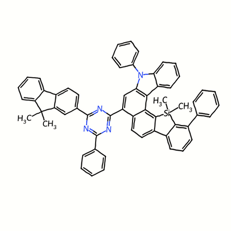 CC1(C)c2ccccc2-c2ccc(-c3nc(-c4ccccc4)nc(-c4cc5c(c6ccccc6n5-c5ccccc5)c5c6c(ccc45)-c4cccc(-c5ccccc5)c4[Si]6(C)C)n3)cc21